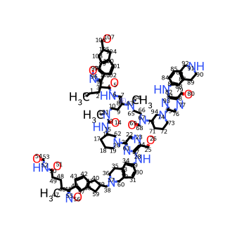 CCCC(C(=O)N/C=C(\CCN(C)C(=O)NC1CCCN(c2cnc(C=O)c(Nc3ccc4c(c3)CCN(CC3Cc5ccc6c(C(C)CCC(=O)NC=O)noc6c5C3)C4)n2)C1)N(C)CCN(C=O)C1CCCN(c2cnc(C=O)c(Nc3ccc4c(c3)CCNC4)n2)C1)c1noc2c3c(ccc12)CC(C=O)C3